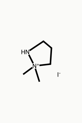 C[N+]1(C)CCCN1.[I-]